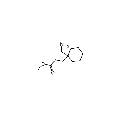 COC(=O)CCC1(CN)CCCCC1